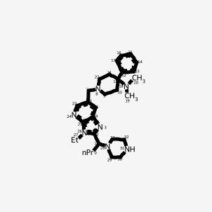 CCCC(c1nc2cc(CN3CCC(c4ccccc4)(N(C)C)CC3)cnc2n1CC)N1CCNCC1